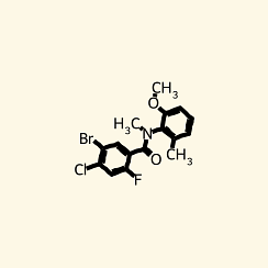 COc1cccc(C)c1N(C)C(=O)c1cc(Br)c(Cl)cc1F